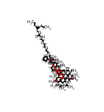 CCC[C@@H]1[C@H](CCC)[C@@H]1COC(=O)NCCOCCOCCOCCNC(=O)CCC(=O)Nc1ccc(O[C@@H]2OC(C(=O)OC)[C@@H](OC(C)=O)C(OC(C)=O)C2OC(C)=O)c(COC(=O)N(C)[C@H](C(=O)N[C@H](C(=O)N(C)[C@@H]([C@@H](C)CC)[C@@H](CC(=O)N2CCC[C@H]2[C@H](OC)[C@@H](C)C(=O)N[C@H](C)[C@@H](O)c2ccccc2)OC)C(C)C)C(C)C)c1